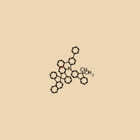 CC1(C)c2ccccc2-c2ccc(N(c3ccc(-c4ccccc4)cc3-c3ccccc3)c3cccc4c3-c3ccccc3C43c4ccccc4-c4c3ccc3ccccc43)cc21